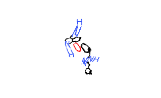 c1ccc(Cc2nnc(-c3cccc(Oc4ccc5[nH]cc6c5c4CNCC6)c3)[nH]2)cc1